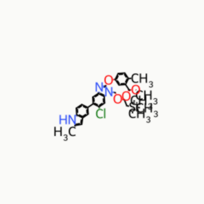 COC(=O)c1cc(Oc2nc3cc(-c4ccc5[nH]c(C)cc5c4)c(Cl)cc3n2COCC[Si](C)(C)C)ccc1C